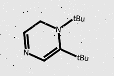 CC(C)(C)C1=CN=CCN1C(C)(C)C